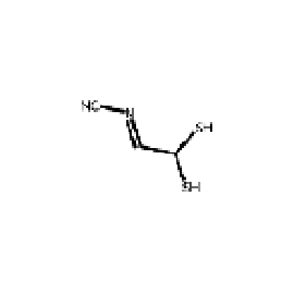 N#CN=CC(S)S